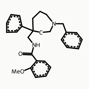 COc1ccccc1C(=O)NCC1(c2ccccc2)CCCN(Cc2ccccc2)CC1